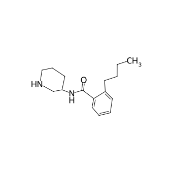 CCCCc1ccccc1C(=O)NC1CCCNC1